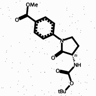 COC(=O)c1ccc(N2CC[C@H](NC(=O)OC(C)(C)C)C2=O)cc1